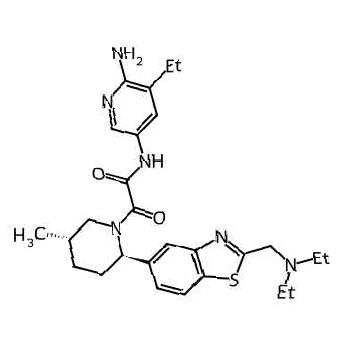 CCc1cc(NC(=O)C(=O)N2C[C@@H](C)CC[C@@H]2c2ccc3sc(CN(CC)CC)nc3c2)cnc1N